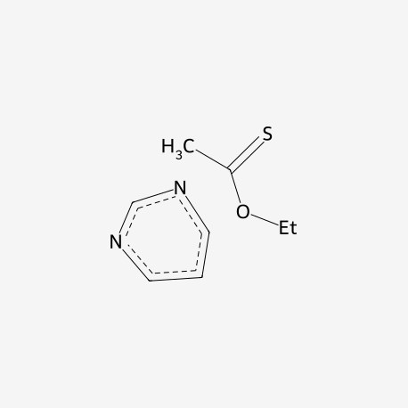 CCOC(C)=S.c1cncnc1